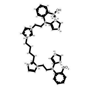 O=[N+]([O-])c1ccccc1N(CCN1C=C[N+]=C1CCCC[n+]1ccn(CCN(C2=COCO2)c2ccccc2[N+](=O)O)c1)C1=COCO1